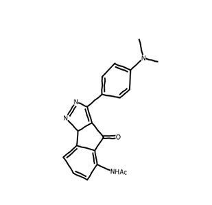 CC(=O)Nc1cccc2c1C(=O)C1=C(c3ccc(N(C)C)cc3)N=NC12